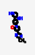 Cc1cnc(-c2ccn(-c3ccc4c5c([nH]c4c3)CCNC5)c(=O)c2)cn1